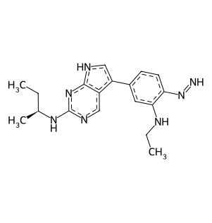 CCNc1cc(-c2c[nH]c3nc(N[C@@H](C)CC)ncc23)ccc1N=N